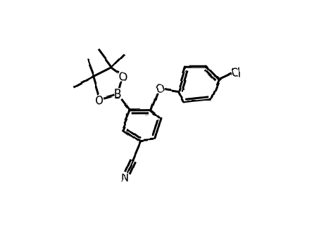 CC1(C)OB(c2cc(C#N)ccc2Oc2ccc(Cl)cc2)OC1(C)C